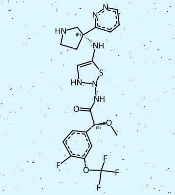 CO[C@H](C(=O)NN1NC=C(N[C@]2(c3cccnn3)CCNC2)S1)c1ccc(F)c(OC(F)(F)F)c1